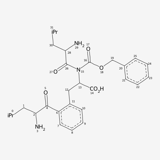 CC(C)CC(N)C(=O)c1ccccc1CC(C(=O)O)N(C(=O)OCc1ccccc1)C(=O)C(N)CC(C)C